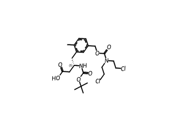 Cc1ccc(COC(=O)N(CCCl)CCCl)cc1C[C@@H](CC(=O)O)NC(=O)OC(C)(C)C